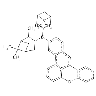 CC1C(B(c2ccc3cc4c5c(cccc5c3c2)Oc2ccccc2-4)C2CC3CC(C2)C3(C)C)CC2CC1C2(C)C